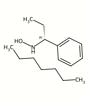 CCCCCCC.CC[C@@H](NO)c1ccccc1